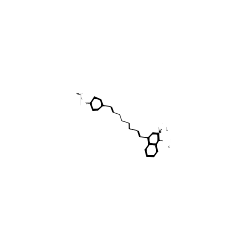 COc1cc(C=CCCCCC=Cc2ccc(NC(C)=O)cc2)c2ccccc2c1OC